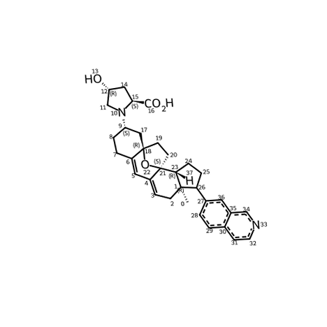 C[C@]12CC=C3C=C4CC[C@H](N5C[C@H](O)C[C@H]5C(=O)O)C[C@]45CC[C@]3(O5)[C@@H]1CCC2c1ccc2ccncc2c1